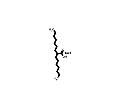 CCCCCCCC(CCCCCCC)C(=O)O.[NaH]